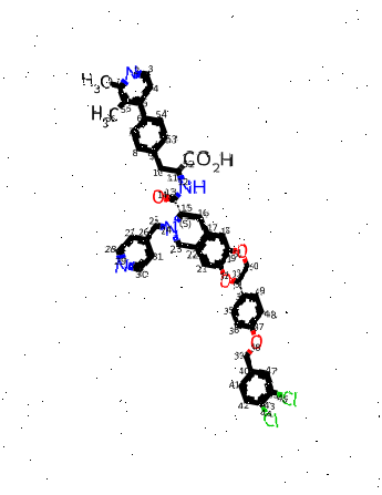 Cc1nccc(-c2ccc(CC(NC(=O)[C@@H]3Cc4cc5c(cc4CN3Cc3ccncc3)O[C@@H](c3ccc(OCc4ccc(Cl)c(Cl)c4)cc3)CO5)C(=O)O)cc2)c1C